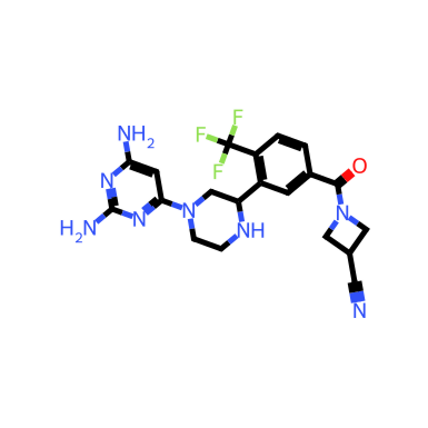 N#CC1CN(C(=O)c2ccc(C(F)(F)F)c(C3CN(c4cc(N)nc(N)n4)CCN3)c2)C1